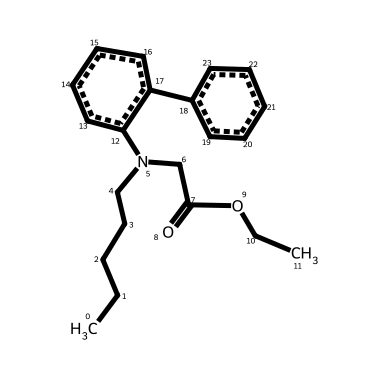 CCCCCN(CC(=O)OCC)c1ccccc1-c1ccccc1